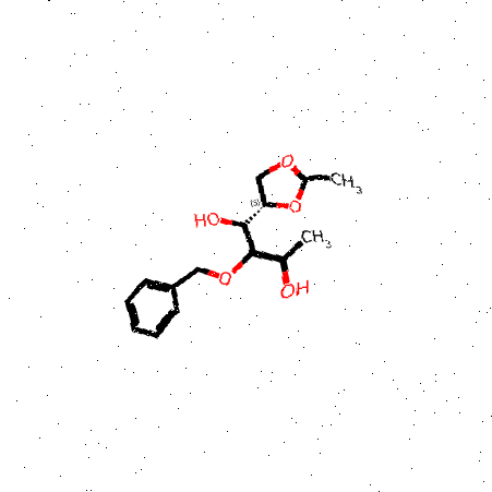 CC1OC[C@@H](C(O)C(OCc2ccccc2)C(C)O)O1